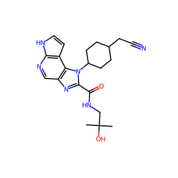 CC(C)(O)CNC(=O)c1nc2cnc3[nH]ccc3c2n1C1CCC(CC#N)CC1